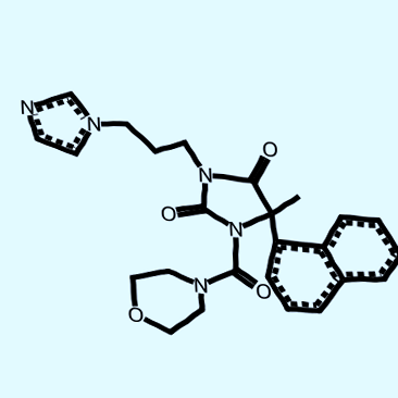 CC1(c2cccc3ccccc23)C(=O)N(CCCn2ccnc2)C(=O)N1C(=O)N1CCOCC1